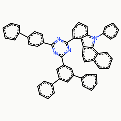 c1ccc(-c2ccc(-c3nc(-c4cc(-c5ccccc5)cc(-c5ccccc5)c4)nc(-c4cccc5c4c4ccc6ccccc6c4n5-c4ccccc4)n3)cc2)cc1